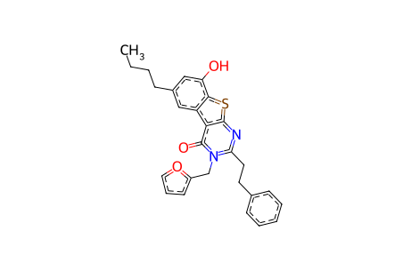 CCCCc1cc(O)c2sc3nc(CCc4ccccc4)n(Cc4ccco4)c(=O)c3c2c1